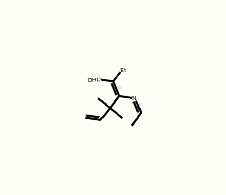 C=CC(C)(C)C(/N=C\C)=C(\C=O)CC